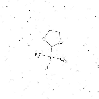 FC(F)(F)C(F)(C1OCCO1)C(F)(F)F